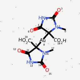 CN1C(=O)NC(=O)[C]1([Au][C]1(C(=O)O)C(=O)NC(=O)N1C)C(=O)O